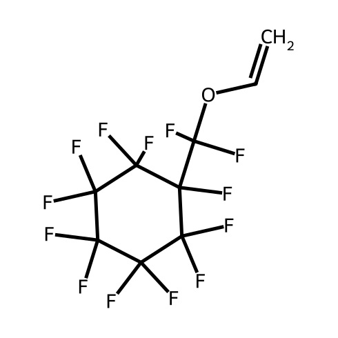 C=COC(F)(F)C1(F)C(F)(F)C(F)(F)C(F)(F)C(F)(F)C1(F)F